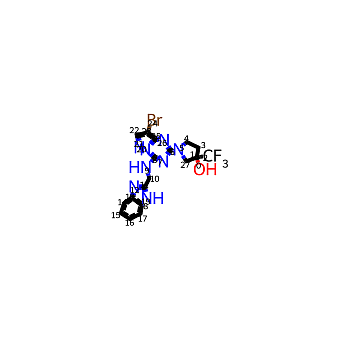 OC1(C(F)(F)F)CCN(c2nc(NCc3nc4ccccc4[nH]3)n3ncc(Br)c3n2)C1